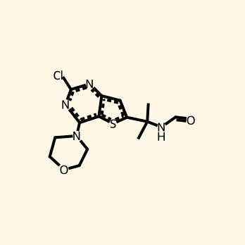 CC(C)(NC=O)c1cc2nc(Cl)nc(N3CCOCC3)c2s1